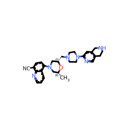 C[C@@H]1CN(c2ccc(C#N)c3ncccc23)C[C@H](CN2CCN(c3cc4c(cn3)CCNC4)CC2)O1